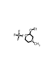 CCOC1CN(C)CCO1.F[B-](F)(F)F